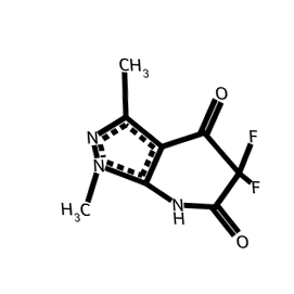 Cc1nn(C)c2c1C(=O)C(F)(F)C(=O)N2